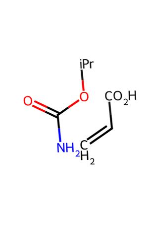 C=CC(=O)O.CC(C)OC(N)=O